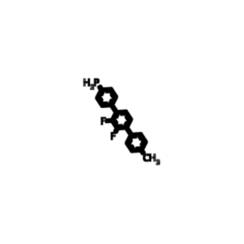 Cc1ccc(-c2ccc(-c3ccc(P)cc3)c(F)c2F)cc1